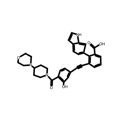 O=C(O)c1cccc(C#Cc2ccc(C(=O)N3CCC(N4CCOCC4)CC3)c(O)c2)c1-c1ccc2cc[nH]c2c1